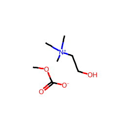 COC(=O)[O-].C[N+](C)(C)CCO